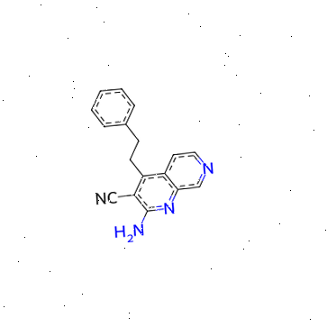 N#Cc1c(N)nc2cnccc2c1CCc1ccccc1